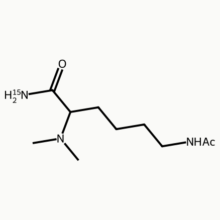 CC(=O)NCCCCC(C([15NH2])=O)N(C)C